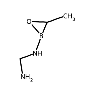 CC1OB1NCN